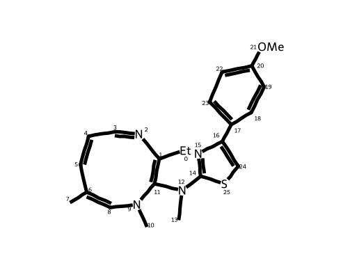 CCc1ncccc(C)cn(C)c1N(C)c1nc(-c2ccc(OC)cc2)cs1